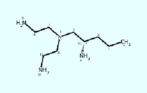 CCC[C@H](N)CN(CCN)CCN